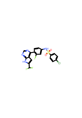 O=S(=O)(Nc1ccc(-c2ncnc3[nH]c(C(F)F)cc23)c(F)c1)c1ccc(Cl)cc1